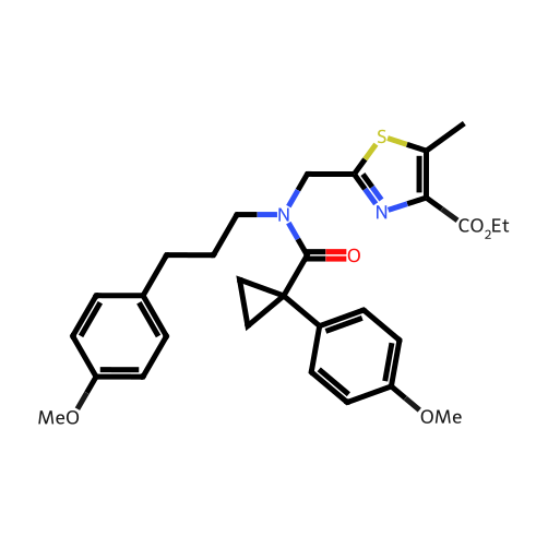 CCOC(=O)c1nc(CN(CCCc2ccc(OC)cc2)C(=O)C2(c3ccc(OC)cc3)CC2)sc1C